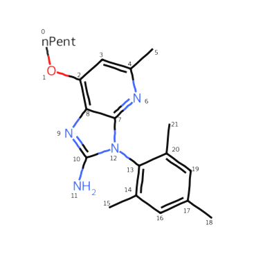 CCCCCOc1cc(C)nc2c1nc(N)n2-c1c(C)cc(C)cc1C